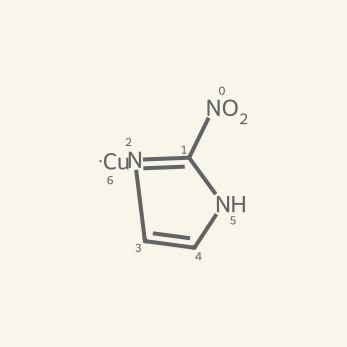 O=[N+]([O-])c1ncc[nH]1.[Cu]